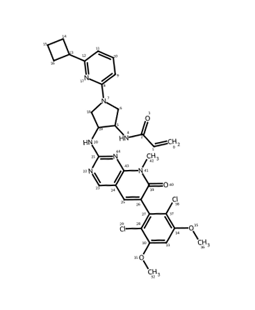 C=CC(=O)NC1CN(c2cccc(C3CCC3)n2)CC1Nc1ncc2cc(-c3c(Cl)c(OC)cc(OC)c3Cl)c(=O)n(C)c2n1